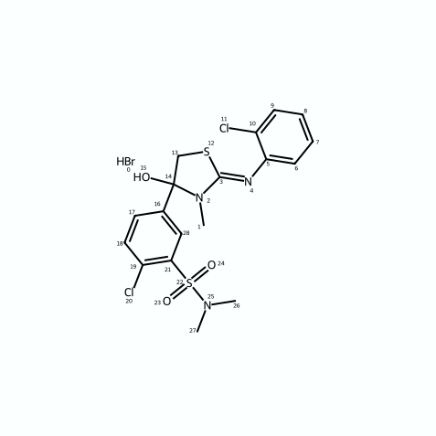 Br.CN1C(=Nc2ccccc2Cl)SCC1(O)c1ccc(Cl)c(S(=O)(=O)N(C)C)c1